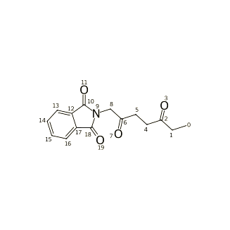 CCC(=O)CCC(=O)CN1C(=O)c2ccccc2C1=O